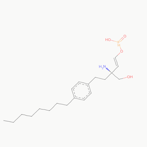 CCCCCCCCc1ccc(CC[C@](N)(/C=C/O[PH](=O)O)CO)cc1